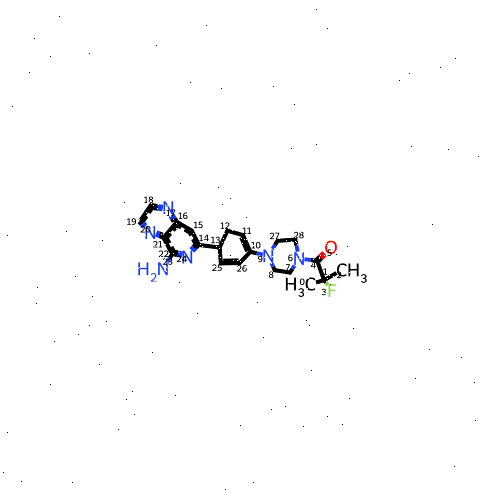 CC(C)(F)C(=O)N1CCN(C2=CCC(c3cc4nccnc4c(N)n3)C=C2)CC1